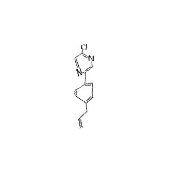 C=CCc1ccc(-c2cnc(Cl)cn2)cc1